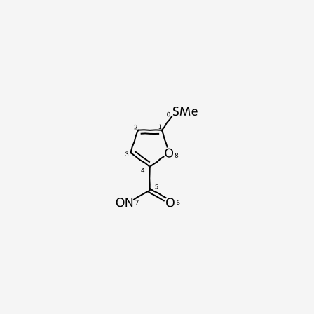 CSc1ccc(C(=O)N=O)o1